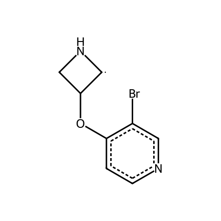 Brc1cnccc1OC1[CH]NC1